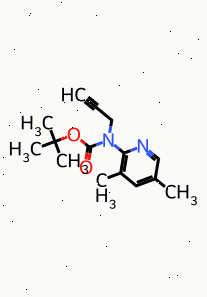 C#CCN(C(=O)OC(C)(C)C)c1ncc(C)cc1C